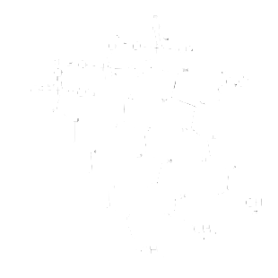 CCCCCCCCCCP(=O)([O-])[O-].CCCCCCCCCCP(=O)([O-])[O-].CCCCCCCCCCP(=O)([O-])[O-].[Co+3].[Co+3]